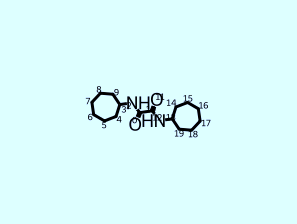 O=C(NC1CCCCCC1)C(=O)NC1CCCCCC1